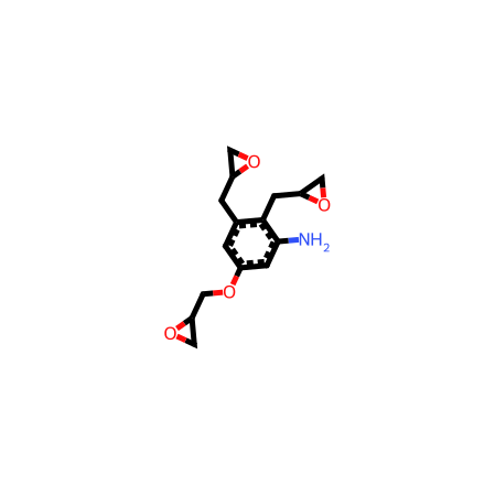 Nc1cc(OCC2CO2)cc(CC2CO2)c1CC1CO1